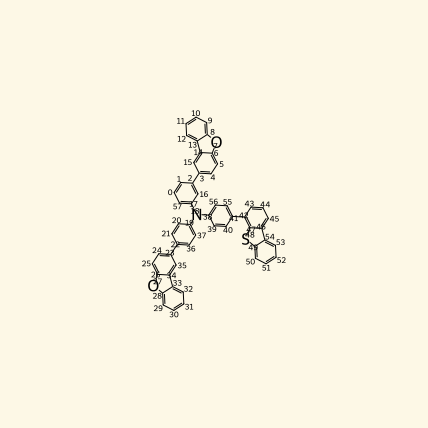 c1cc(-c2ccc3oc4ccccc4c3c2)cc(N(c2ccc(-c3ccc4oc5ccccc5c4c3)cc2)c2ccc(-c3cccc4c3sc3ccccc34)cc2)c1